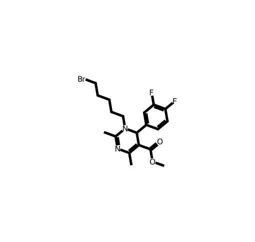 COC(=O)C1=C(C)N=C(C)N(CCCCCBr)C1c1ccc(F)c(F)c1